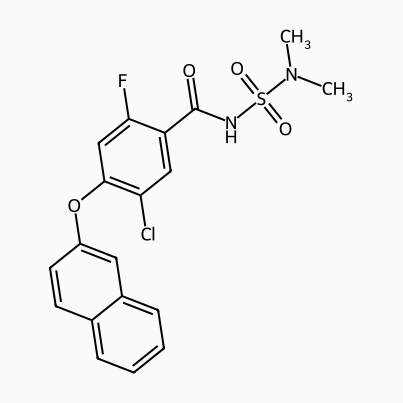 CN(C)S(=O)(=O)NC(=O)c1cc(Cl)c(Oc2ccc3ccccc3c2)cc1F